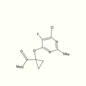 COC(=O)C1(Oc2nc(SC)nc(Cl)c2F)CC1